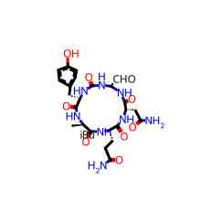 CC[C@H](C)[C@]1(C)NC(=O)[C@H](Cc2ccc(O)cc2)NC(=O)N[C@@H](C=O)NC(=O)[C@H](CC(N)=O)NC(=O)[C@H](CCC(N)=O)NC1=O